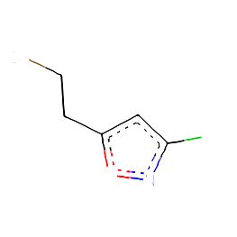 Clc1cc(CCBr)on1